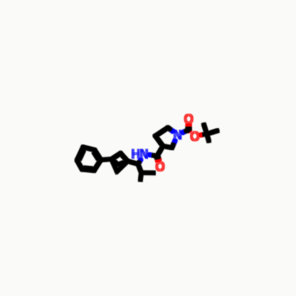 CC(C)C(NC(=O)C1CCN(C(=O)OC(C)(C)C)C1)C12CC(c3ccccc3)(C1)C2